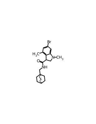 Cc1cc(Br)cc2c1C(C(=O)NCC13CCC(CC1)CC3)CN2C